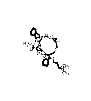 COC(=O)[C@@H]1C[C@@H]2CN1C(=O)[C@H](C1Cc3ccccc3C1)NC(=O)O[C@@H]1C[C@H]1CCCCCc1c(nc3ccccc3c1OCCCN(C)C)O2